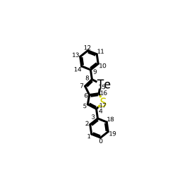 c1ccc(-c2cc3cc(-c4ccccc4)[te]c3s2)cc1